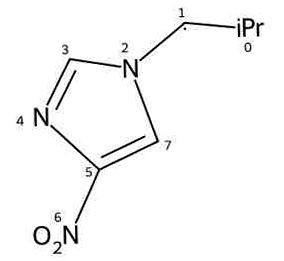 CC(C)[CH]n1cnc([N+](=O)[O-])c1